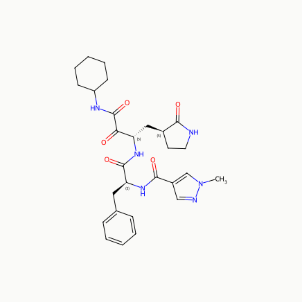 Cn1cc(C(=O)N[C@@H](Cc2ccccc2)C(=O)N[C@@H](C[C@@H]2CCNC2=O)C(=O)C(=O)NC2CCCCC2)cn1